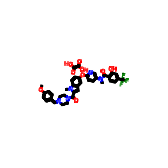 COc1ccc(CN2CCN(C(=O)c3cc4cc(Oc5ccc(N(C)C(=O)c6ccc(C(F)(F)F)cc6O)cn5)ccc4n3C)CC2)cc1.O=C(O)C(=O)O